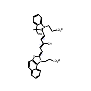 CCCCC1(C)C(/C=C/C(C#N)=C/C=C2\Oc3ccc4ccccc4c3N2CCC(=O)O)=[N+](CCC(=O)O)c2ccccc21